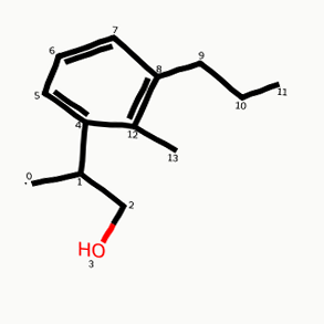 [CH2]C(CO)c1cccc(CCC)c1C